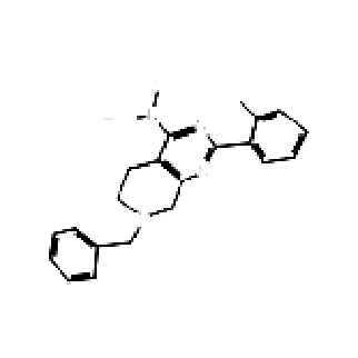 CN(C)c1nc(-c2ccccc2O)nc2c1CCN(Cc1ccccc1)C2